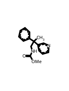 COC(=O)NCC(C)(c1ccccc1)c1cccnc1